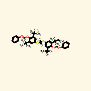 [CH2]CC(C)(C)c1cc(SC(C)(C)Sc2cc(C(C)(C)C)c(OCOc3ccccc3)c(C(C)(C)C)c2)cc(C(C)(C)C)c1OCOc1ccccc1